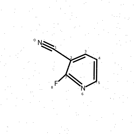 N#Cc1cc[c]nc1F